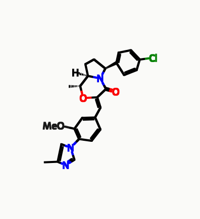 COc1cc(/C=C2\O[C@H](C)[C@H]3CC[C@@H](c4ccc(Cl)cc4)N3C2=O)ccc1-n1cnc(C)c1